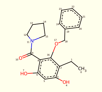 CCc1c(O)cc(O)c(C(=O)N2CCCC2)c1OCc1ccccc1